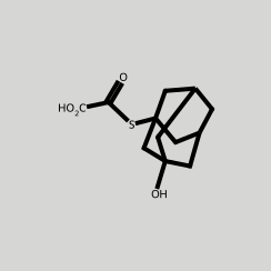 O=C(O)C(=O)SC12CC3CC(CC(O)(C3)C1)C2